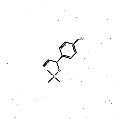 C=CC(O[Si](C)(C)C)c1ccc(C(C)(C)C)cc1